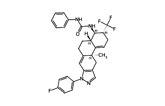 C[C@]12Cc3cnn(-c4ccc(F)cc4)c3C=C1CC[C@H]1C2=CC[C@@H](C(F)(F)F)[C@@H]1NC(=O)Nc1ccccc1